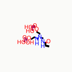 C=CC(=O)NCN(CCOP(=O)(O)O)NCCOP(=O)(O)O